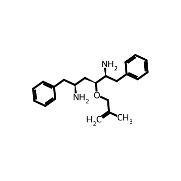 C=C(C)CO[C@@H](C[C@@H](N)Cc1ccccc1)[C@@H](N)Cc1ccccc1